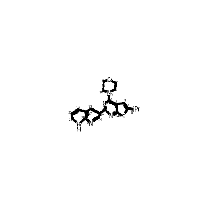 CC(C)c1cc2c(N3CCOCC3)nc(-c3cnc4c(c3)C=CCN4)nc2s1